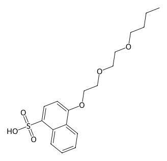 CCCCOCCOCCOc1ccc(S(=O)(=O)O)c2ccccc12